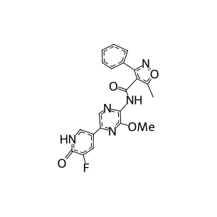 COc1nc(-c2c[nH]c(=O)c(F)c2)cnc1NC(=O)c1c(-c2ccccc2)noc1C